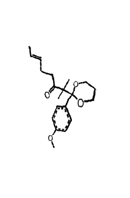 C/C=C/CCC(=O)C(C)(C)C1(c2ccc(OC)cc2)OCCCO1